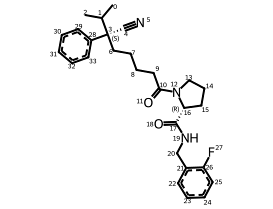 CC(C)[C@@](C#N)(CCCCC(=O)N1CCC[C@@H]1C(=O)NCc1ccccc1F)c1ccccc1